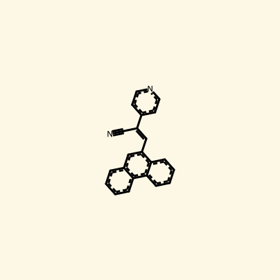 N#CC(=Cc1cc2ccccc2c2ccccc12)c1ccncc1